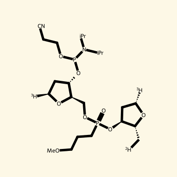 [2H]C[C@H]1O[C@@H]([3H])C[C@@H]1OP(=O)(CCCOC)OC[C@H]1O[C@@H]([3H])C[C@@H]1OP(OCCC#N)N(C(C)C)C(C)C